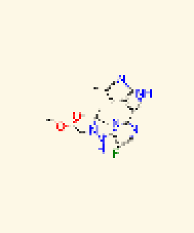 CCOC(=O)CN(Nc1nc(-c2c[nH]c3ncc(C)cc23)ncc1F)C(C)(C)C